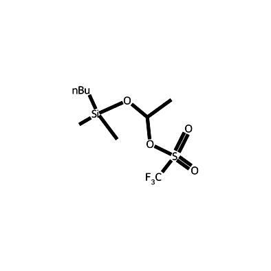 CCCC[Si](C)(C)OC(C)OS(=O)(=O)C(F)(F)F